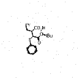 CC(C)C[C@@H](C(=O)O)[C@H](Sc1ccccc1)C(=O)OC(C)(C)C